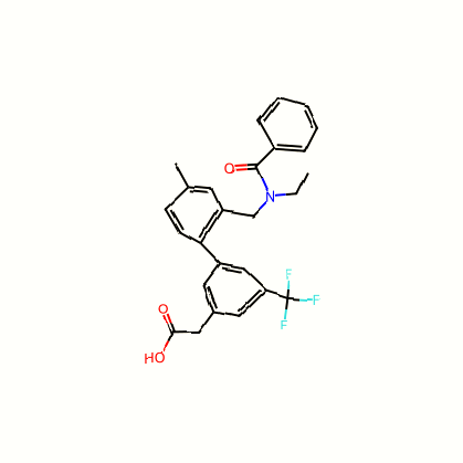 CCN(Cc1cc(C)ccc1-c1cc(CC(=O)O)cc(C(F)(F)F)c1)C(=O)c1ccccc1